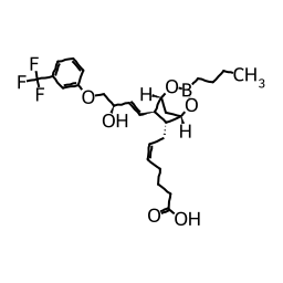 CCCCB1O[C@H]2C[C@@H](O1)[C@H](/C=C/[C@@H](O)COc1cccc(C(F)(F)F)c1)[C@H]2C/C=C\CCCC(=O)O